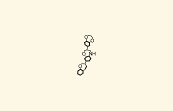 C1=CC(c2ccc3c(c2)OCC(c2ccc4c(c2)OCCCO4)CN3)COc2ccccc21